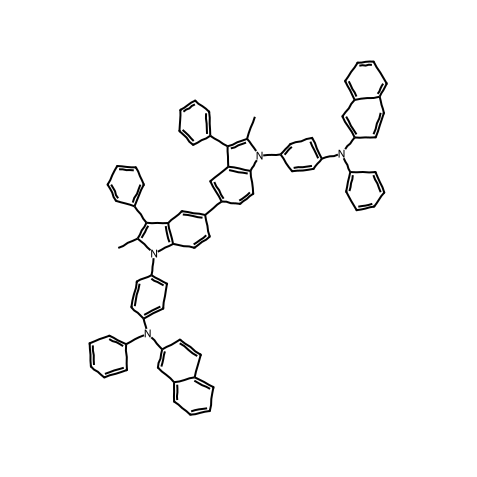 Cc1c(-c2ccccc2)c2cc(-c3ccc4c(c3)c(-c3ccccc3)c(C)n4-c3ccc(N(c4ccccc4)c4ccc5ccccc5c4)cc3)ccc2n1-c1ccc(N(c2ccccc2)c2ccc3ccccc3c2)cc1